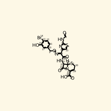 O=CNc1nc(C(=NOCc2ccc(Br)c(O)c2)C(=O)NC2C(=O)N3C(C(=O)O)=CCS[C@@H]23)cs1